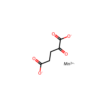 O=C([O-])CCC(=O)C(=O)[O-].[Mn+2]